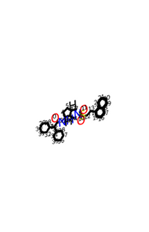 O=C(N[C@H]1CC[C@H]2CN(S(=O)(=O)CCc3cccc4ccccc34)C[C@H]21)C(C1CCCCC1)C1CCCCC1